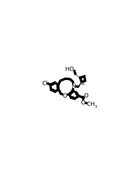 COC(=O)c1ccc2c(c1)N(C[C@@H]1CC[C@H]1CCO)CCCCc1cc(Cl)ccc1CO2